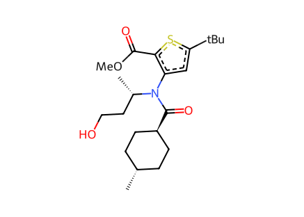 COC(=O)c1sc(C(C)(C)C)cc1N(C(=O)[C@H]1CC[C@H](C)CC1)[C@@H](C)CCO